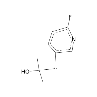 CC(C)(O)[CH]c1ccc(F)nc1